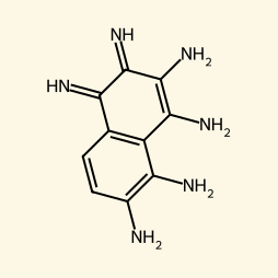 N=C1C(=N)c2ccc(N)c(N)c2C(N)=C1N